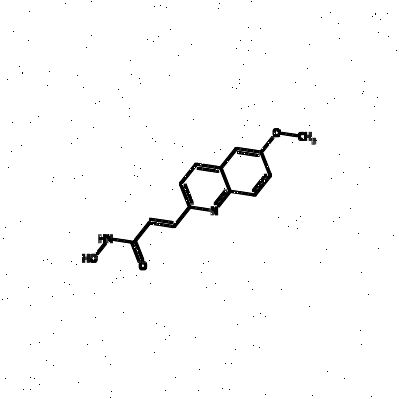 COc1ccc2nc(/C=C/C(=O)NO)ccc2c1